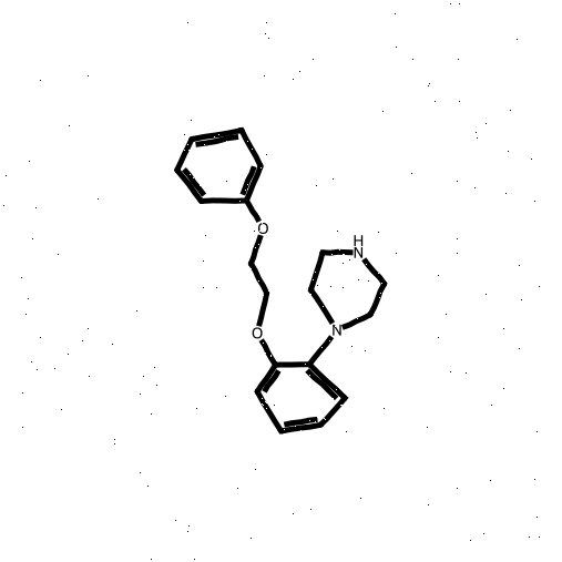 c1ccc(OCCOc2ccccc2N2CCNCC2)cc1